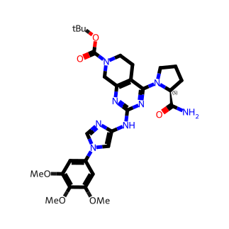 COc1cc(-n2cnc(Nc3nc4c(c(N5CCC[C@H]5C(N)=O)n3)CCN(C(=O)OC(C)(C)C)C4)c2)cc(OC)c1OC